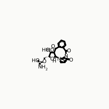 NP(O)OC[C@H]1O[C@H]2n3ccc(=O)n(c3=O)C(=O)c3ccccc3C(=O)[C@@]2(O)[C@@H]1O